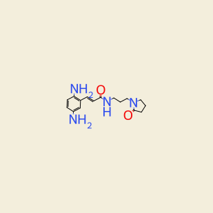 Nc1ccc(N)c(C=CC(=O)NCCCN2CCCC2=O)c1